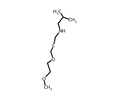 COCCOCCCNCC(C)C